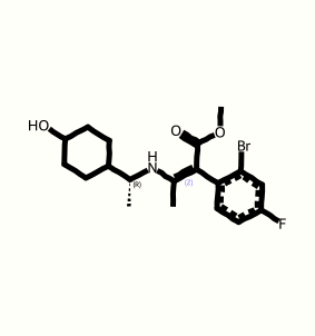 COC(=O)/C(=C(/C)N[C@H](C)C1CCC(O)CC1)c1ccc(F)cc1Br